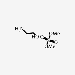 COS(=O)(=O)OC.NCCO